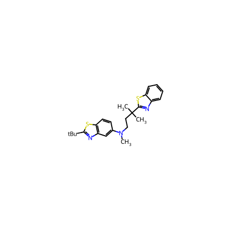 CN(CCC(C)(C)c1nc2ccccc2s1)c1ccc2sc(C(C)(C)C)nc2c1